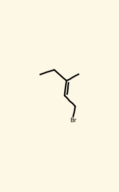 CCC(C)=CCBr